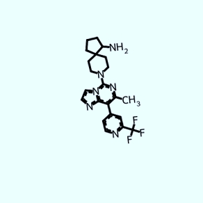 Cc1nc(N2CCC3(CCCC3N)CC2)n2ccnc2c1-c1ccnc(C(F)(F)F)c1